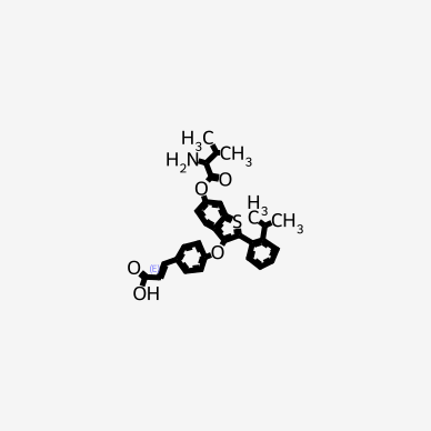 CC(C)c1ccccc1-c1sc2cc(OC(=O)C(N)C(C)C)ccc2c1Oc1ccc(/C=C/C(=O)O)cc1